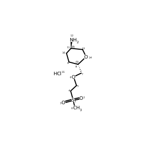 CS(=O)(=O)CCOC[C@@H]1CC[C@@H](N)CO1.Cl